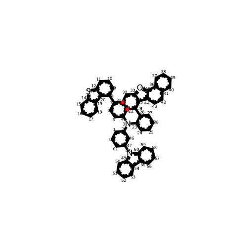 c1cc(N(c2ccc(-c3cccc4sc5ccccc5c34)cc2)c2ccccc2-c2cccc3oc4c5ccccc5ccc4c23)cc(-n2c3ccccc3c3ccccc32)c1